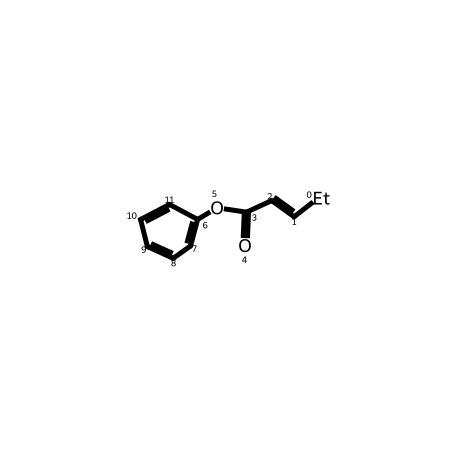 CC/C=C/C(=O)Oc1ccccc1